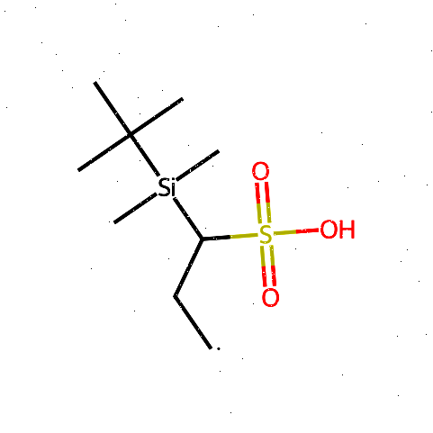 [CH2]CC([Si](C)(C)C(C)(C)C)S(=O)(=O)O